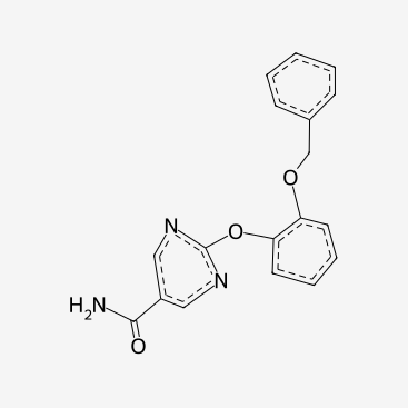 NC(=O)c1cnc(Oc2ccccc2OCc2ccccc2)nc1